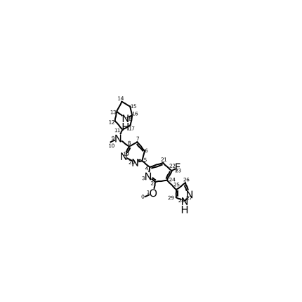 COc1nc(-c2ccc(N(C)C3CC4CCC(C3)N4)nn2)cc(F)c1-c1cn[nH]c1